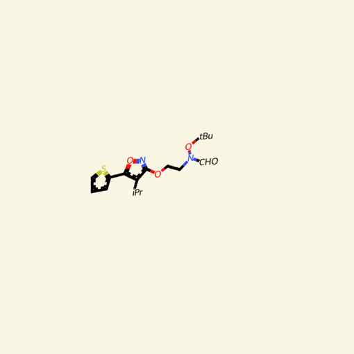 CC(C)c1c(OCCN(C=O)OC(C)(C)C)noc1-c1cccs1